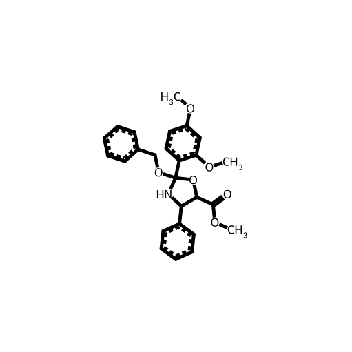 COC(=O)C1OC(OCc2ccccc2)(c2ccc(OC)cc2OC)NC1c1ccccc1